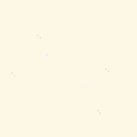 [C-]#[N+]/C(C#N)=c1/c2ccsc2/c(=C(\C#N)[N+]#[C-])c2ccsc12